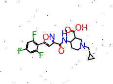 O=C(NC1CCN(CC2CC2)CC1C(=O)O)c1cc(-c2c(F)cc(F)cc2F)on1